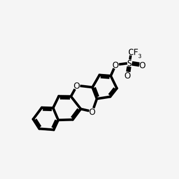 O=S(=O)(Oc1ccc2c(c1)Oc1cc3ccccc3cc1O2)C(F)(F)F